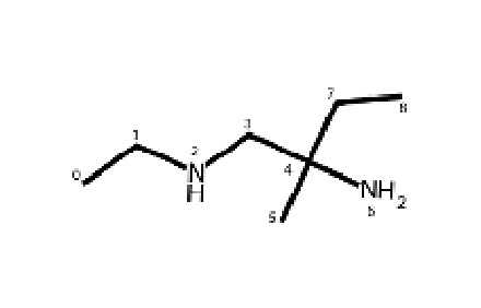 CCNCC(C)(N)CC